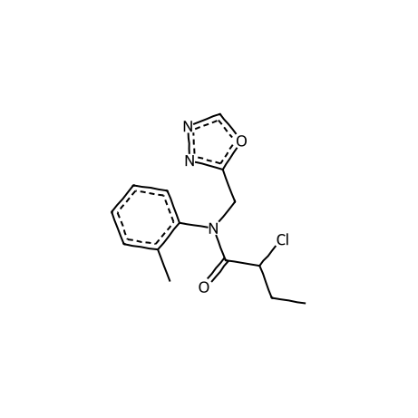 CCC(Cl)C(=O)N(Cc1nnco1)c1ccccc1C